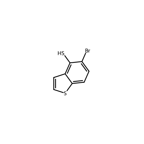 Sc1c(Br)ccc2sccc12